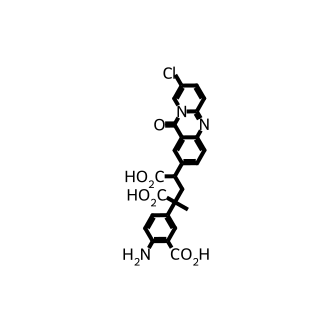 CC(CC(C(=O)O)c1ccc2nc3ccc(Cl)cn3c(=O)c2c1)(C(=O)O)c1ccc(N)c(C(=O)O)c1